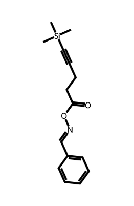 C[Si](C)(C)C#CCCC(=O)ON=Cc1ccccc1